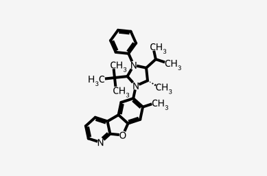 Cc1cc2oc3ncccc3c2cc1N1C(C(C)(C)C)N(c2ccccc2)C(C(C)C)[C@@H]1C